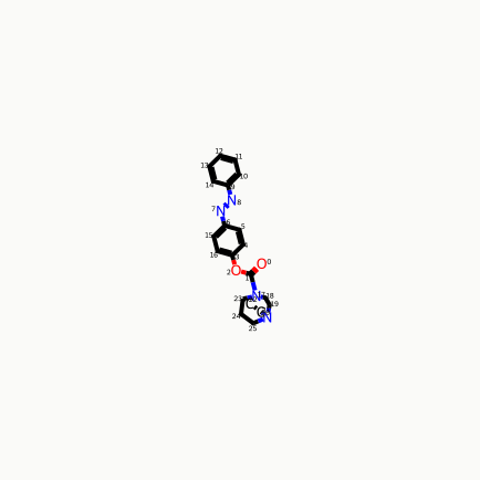 O=C(Oc1ccc(N=Nc2ccccc2)cc1)N1CCN2CCC1CC2